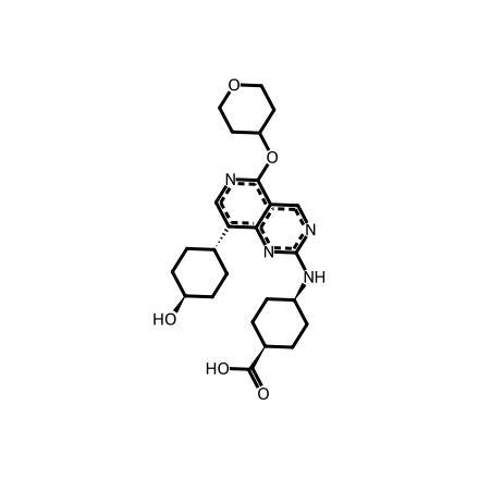 O=C(O)[C@H]1CC[C@@H](Nc2ncc3c(OC4CCOCC4)ncc([C@H]4CC[C@H](O)CC4)c3n2)CC1